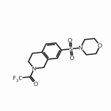 O=C(N1CCc2ccc(S(=O)(=O)N3CCOCC3)cc2C1)C(F)(F)F